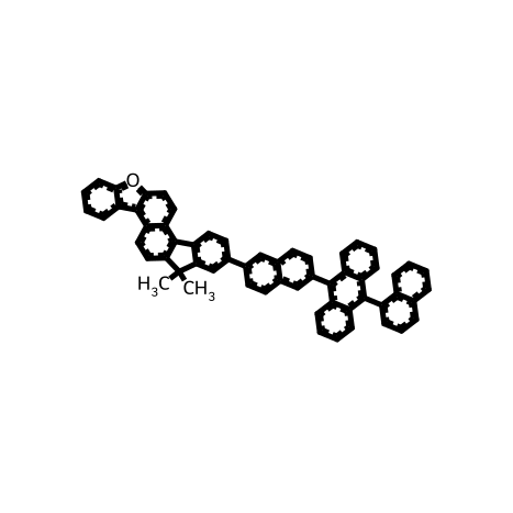 CC1(C)c2cc(-c3ccc4cc(-c5c6ccccc6c(-c6cccc7ccccc67)c6ccccc56)ccc4c3)ccc2-c2c1ccc1c2ccc2oc3ccccc3c21